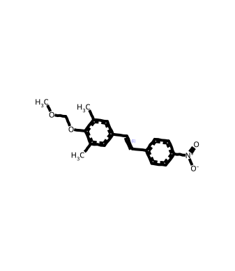 COCOc1c(C)cc(/C=C/c2ccc([N+](=O)[O-])cc2)cc1C